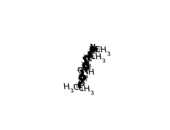 CC(C)COc1ccc(C(=O)Nc2ccc(N3CCC(N(C)Cc4cnn(C)c4)C3)cc2)cc1